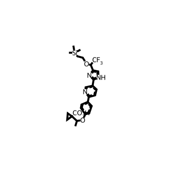 CC(Oc1ccc(-c2ccc(-c3nc(C(OCC[Si](C)(C)C)C(F)(F)F)c[nH]3)cn2)cc1)C1(C(=O)O)CC1